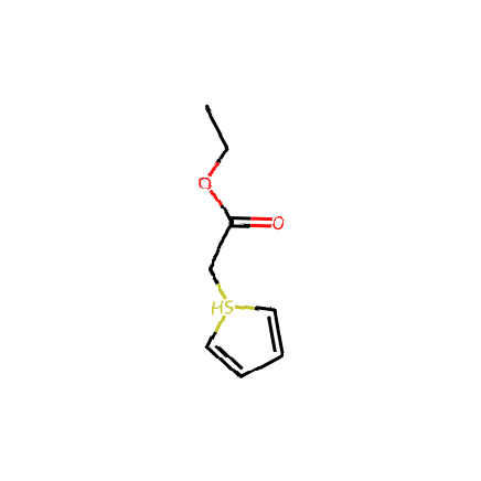 CCOC(=O)C[SH]1C=CC=C1